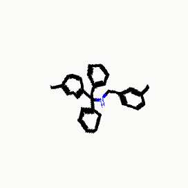 Cc1ccc(C(NCc2cccc(C)c2)(c2ccccc2)c2ccccc2)cc1